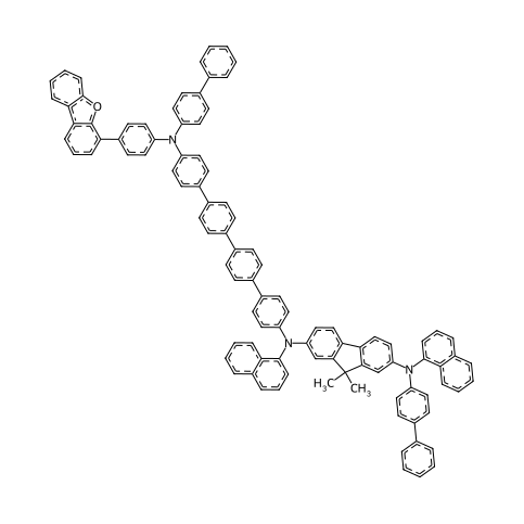 CC1(C)c2cc(N(c3ccc(-c4ccccc4)cc3)c3cccc4ccccc34)ccc2-c2ccc(N(c3ccc(-c4ccc(-c5ccc(-c6ccc(N(c7ccc(-c8ccccc8)cc7)c7ccc(-c8cccc9c8oc8ccccc89)cc7)cc6)cc5)cc4)cc3)c3cccc4ccccc34)cc21